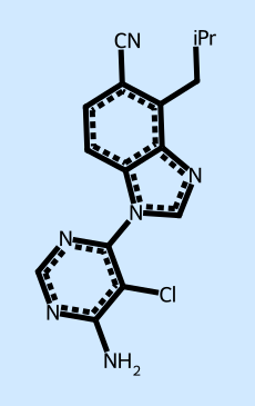 CC(C)Cc1c(C#N)ccc2c1ncn2-c1ncnc(N)c1Cl